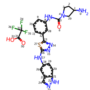 NC1CCN(C(=O)Nc2cccc(-c3nnc(Nc4ccc5[nH]ncc5c4)s3)c2)C1.O=C(O)C(F)(F)F